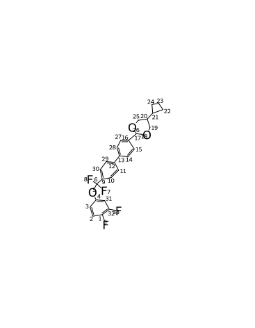 Fc1ccc(OC(F)(F)c2ccc(-c3ccc(C4OCC(C5CCC5)CO4)cc3)cc2)cc1F